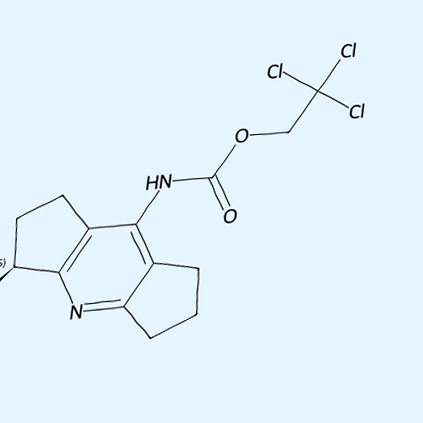 C[C@H]1CCc2c1nc1c(c2NC(=O)OCC(Cl)(Cl)Cl)CCC1